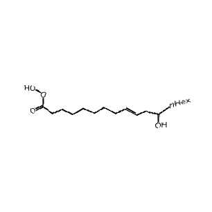 CCCCCCC(O)CC=CCCCCCCCC(=O)OO